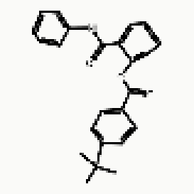 CC(C)(C)c1ccc(C(=O)Oc2ccccc2C(=O)Nc2ccccc2)cc1